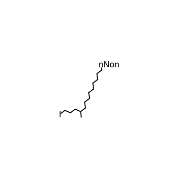 CCCCCCCCCCCCCCCCCCC(C)CCCI